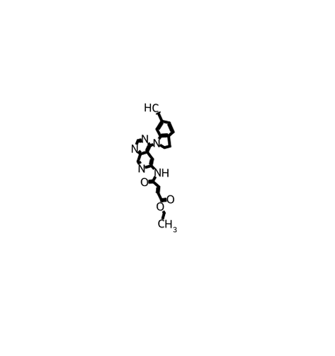 C#Cc1ccc2c(c1)N(c1ncnc3cnc(NC(=O)C=CC(=O)OCC)cc13)CC2